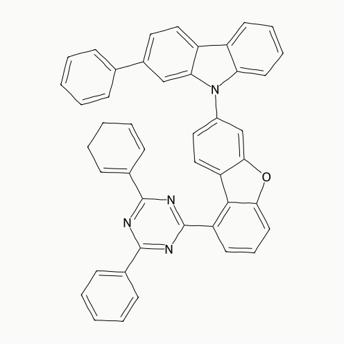 C1=CC(c2nc(-c3ccccc3)nc(-c3cccc4oc5cc(-n6c7ccccc7c7ccc(-c8ccccc8)cc76)ccc5c34)n2)=CCC1